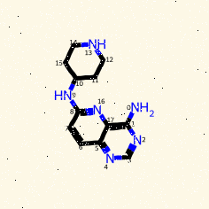 Nc1ncnc2ccc(NC3CCNCC3)nc12